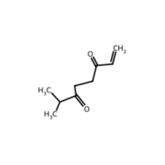 C=CC(=O)CCC(=O)C(C)C